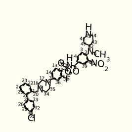 CN(c1ccc(C(=O)NS(=O)(=O)c2ccc(N3CCN(Cc4ccccc4-c4ccc(Cl)cc4)CC3)cc2F)cc1[N+](=O)[O-])C1CCNCC1